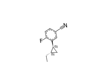 CC[C@H]1C[C@@H]1c1cc(C#N)ccc1F